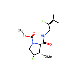 CO[C@H]1[C@@H](C(=O)NCC(F)=C(C)C)N(C(=O)OC(C)(C)C)C[C@@H]1F